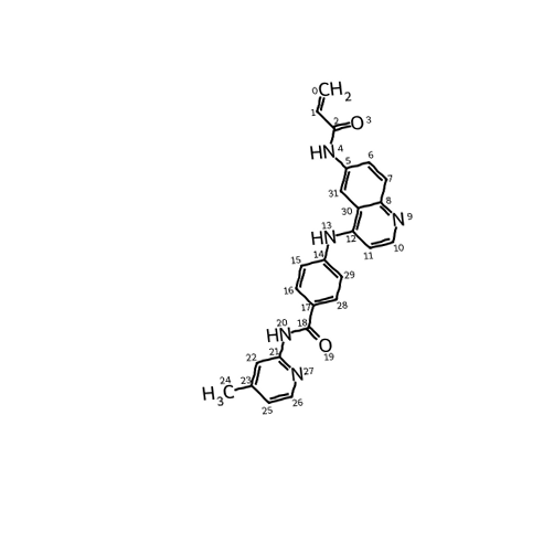 C=CC(=O)Nc1ccc2nccc(Nc3ccc(C(=O)Nc4cc(C)ccn4)cc3)c2c1